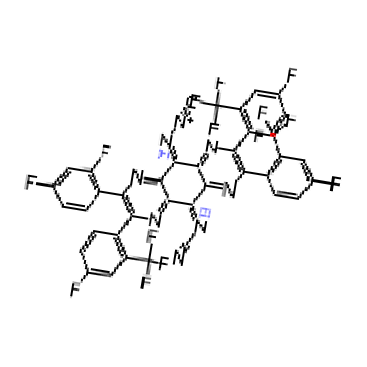 [C-]#[N+]/N=C1/c2nc(-c3ccc(F)cc3F)c(-c3ccc(F)cc3C(F)(F)F)nc2/C(=N\C#N)c2nc(-c3ccc(F)cc3C(F)(F)F)c(-c3ccc(F)cc3C(F)(F)F)nc21